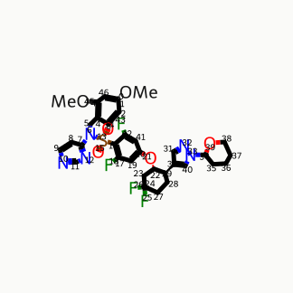 COc1ccc(CN(c2ccncn2)S(=O)(=O)c2c(F)cc(O[C@H]3CC(F)(F)CC[C@@H]3c3cnn(C4CCCCO4)c3)cc2F)c(OC)c1